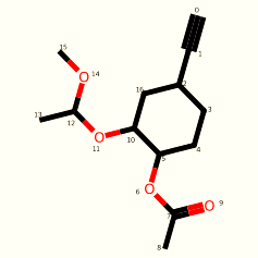 C#CC1CCC(OC(C)=O)C(OC(C)OC)C1